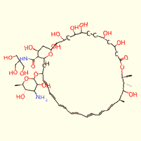 C[C@@H]1OC(=O)CC(O)CC(O)CCC(O)C(O)CC(O)CC2(O)C[C@H](O)C(C(=O)NC(CO)(CO)CO)[C@H](CC(O[C@@H]3O[C@H](C)[C@@H](O)[C@H](N)C3O)/C=C/C=C/C=C/C=C/C=C/C=C/C=C/[C@H](C)C(O)[C@H]1C)O2